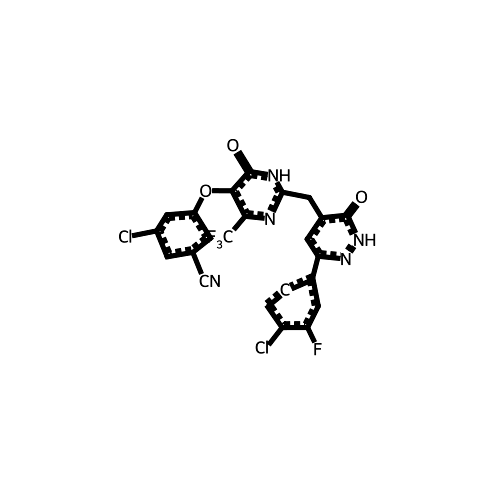 N#Cc1cc(Cl)cc(Oc2c(C(F)(F)F)nc(Cc3cc(-c4ccc(Cl)c(F)c4)n[nH]c3=O)[nH]c2=O)c1